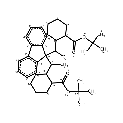 CC(C1CCCCC1C(=O)OC(C)(C)C)C1(C(C)C2CCCCC2C(=O)OC(C)(C)C)c2ccccc2-c2ccccc21